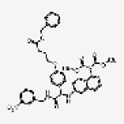 CC(C)(C)OC(=O)N(C(=O)OC(C)(C)C)c1nccc2cc(NC(C(=O)NCc3cccc([N+](=O)[O-])c3)c3ccc(OCCCC(=O)OCc4ccccc4)cc3)ccc12